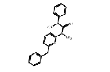 CN(C(=N)N(C)c1cccc(Cc2ccccc2)n1)c1ccccc1